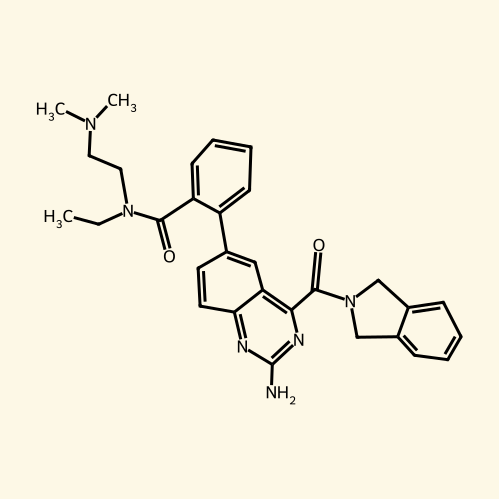 CCN(CCN(C)C)C(=O)c1ccccc1-c1ccc2nc(N)nc(C(=O)N3Cc4ccccc4C3)c2c1